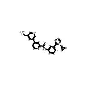 CCc1cncc(-c2ccnc(C(=O)Nc3cccc(-c4nncn4C4CC4)c3)c2)c1